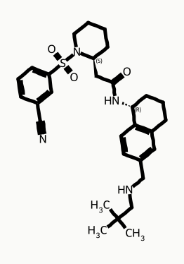 CC(C)(C)CNCc1ccc2c(c1)CCC[C@H]2NC(=O)C[C@@H]1CCCCN1S(=O)(=O)c1cccc(C#N)c1